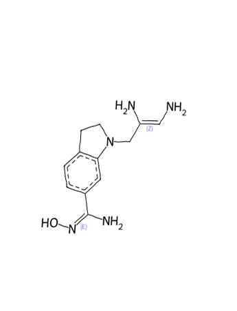 N/C=C(\N)CN1CCc2ccc(/C(N)=N\O)cc21